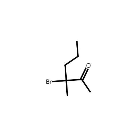 CCCC(C)(Br)C(C)=O